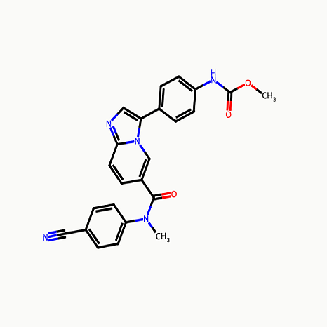 COC(=O)Nc1ccc(-c2cnc3ccc(C(=O)N(C)c4ccc(C#N)cc4)cn23)cc1